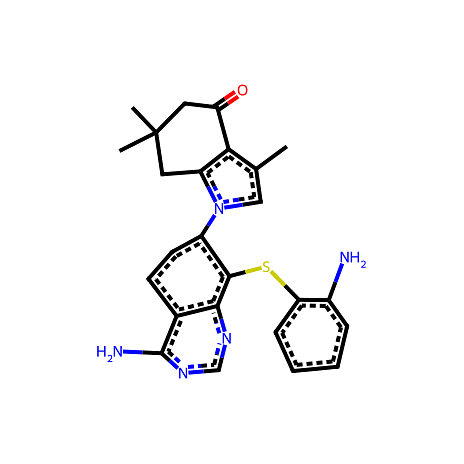 Cc1cn(-c2ccc3c(N)ncnc3c2Sc2ccccc2N)c2c1C(=O)CC(C)(C)C2